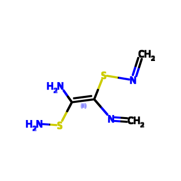 C=NS/C(N=C)=C(\N)SN